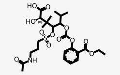 CCOC(=O)c1ccccc1OC(=O)OC(C(C)C)C(OS(=O)(=O)CCCNC(C)=O)C(C)(C)[C@@H](O)C(=O)O